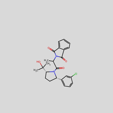 CC(C(=O)N1[C@H](c2cccc(Cl)c2)CC[C@@H]1C(C)(C)O)N1C(=O)c2ccccc2C1=O